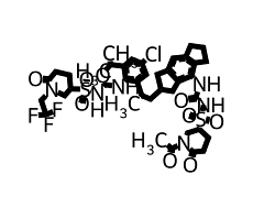 CC(=O)N1CC(S(=O)(=O)NC(=O)Nc2c3c(cc4c2CC(CC(C)c2cc(Cl)cc(C(C)C)c2NC(=O)NS(=O)(=O)C2CCC(=O)N(CC(F)(F)F)C2)C4)CCC3)CCC1=O